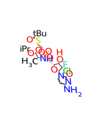 CC(C)OC(=O)[C@@H](C)N[P@](=O)(OCCSC(=O)C(C)(C)C)OC[C@H]1O[C@@H](n2ccc(N)nc2=O)[C@](F)(Cl)[C@@H]1O